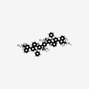 CC(C)(C)c1ccc(-c2ccc(N(c3ccccc3)c3cc4c(c5oc6ccccc6c35)-c3cc5c(cc3[Si]4(C)C)-c3c(cc(N(c4ccccc4)c4ccc(-c6ccc(C(C)(C)C)c7ccccc67)cc4)c4c3oc3ccccc34)[Si]5(C)C)cc2)c2ccccc12